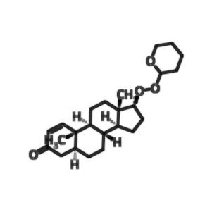 C[C@]12C=CC(=O)C[C@@H]1CC[C@@H]1[C@@H]2CC[C@]2(C)[C@@H](OOC3CCCCO3)CC[C@@H]12